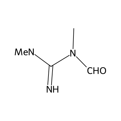 CNC(=N)N(C)C=O